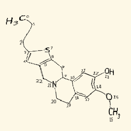 CCCc1cc2c(s1)CC1c3cc(O)c(OC)cc3CCN1C2